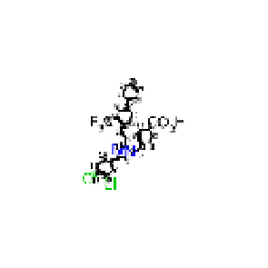 O=C(O)c1ccc(Cn2cc(-c3ccc(Cl)c(Cl)c3)nc2/C=C/c2ccc(-c3ccccc3)cc2C(F)(F)F)cc1